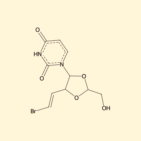 O=c1ccn(C2OC(CO)OC2/C=C/Br)c(=O)[nH]1